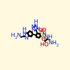 NCc1nc2cc(-c3ccc4c(c3-c3nn[nH]n3)S(=O)(=O)N=S4(=O)N[C@@H](CN)CO)ccc2[nH]1